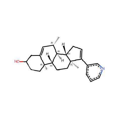 C[C@H]1C=C2CC(O)CC[C@]2(C)[C@H]2CC[C@]3(C)C(c4cccnc4)=CC[C@H]3[C@H]12